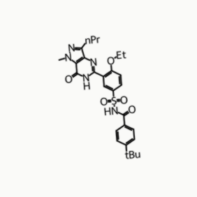 CCCc1nn(C)c2c(=O)[nH]c(-c3cc(S(=O)(=O)NC(=O)c4ccc(C(C)(C)C)cc4)ccc3OCC)nc12